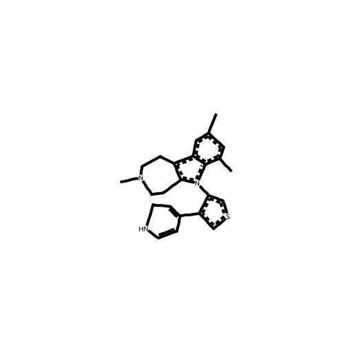 Cc1cc(C)c2c(c1)c1c(n2-c2cscc2C2=CCNC=C2)CCN(C)CC1